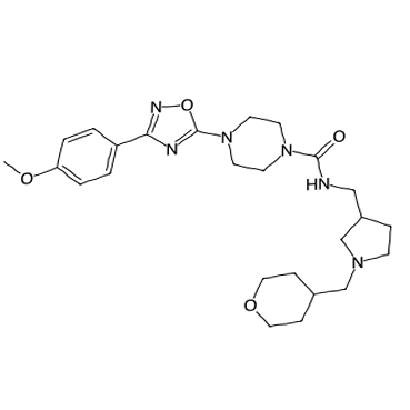 COc1ccc(-c2noc(N3CCN(C(=O)NCC4CCN(CC5CCOCC5)C4)CC3)n2)cc1